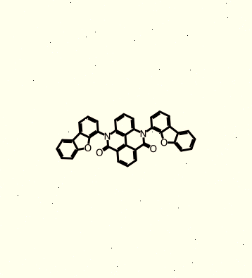 O=c1c2cccc3c(=O)n(-c4cccc5c4oc4ccccc45)c4cccc(c4c23)n1-c1cccc2c1oc1ccccc12